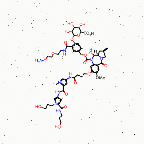 C=C1C[C@H]2C(O)N(C(=O)OCc3ccc(O[C@@H]4O[C@H](C(=O)O)[C@@H](O)[C@H](O)[C@H]4O)c(C(=O)NCCOCCON)c3)c3cc(OCCCC(=O)Nc4cc(C(=O)Nc5cc(C(=O)NCCCO)n(CCCO)c5)n(C)c4)c(OC)cc3C(=O)N2C1